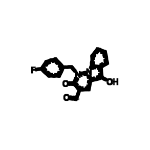 O=[C]c1cc2c(O)c3ccccc3n2n(Cc2ccc(F)cc2)c1=O